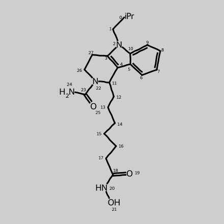 CC(C)Cn1c2c(c3ccccc31)C(CCCCCCC(=O)NO)N(C(N)=O)CC2